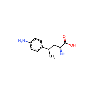 CC(CC(=N)C(=O)O)c1ccc(N)cc1